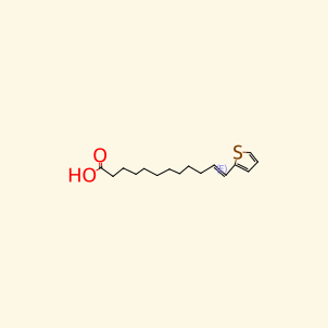 O=C(O)CCCCCCCCC/C=C/c1cccs1